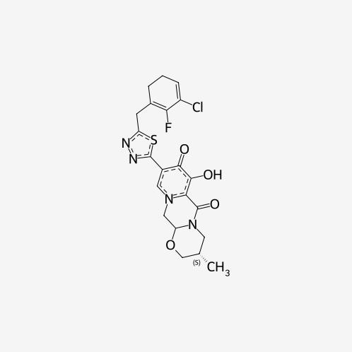 C[C@@H]1COC2Cn3cc(-c4nnc(CC5=C(F)C(Cl)=CCC5)s4)c(=O)c(O)c3C(=O)N2C1